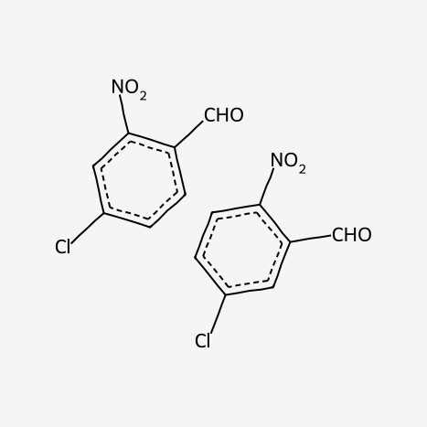 O=Cc1cc(Cl)ccc1[N+](=O)[O-].O=Cc1ccc(Cl)cc1[N+](=O)[O-]